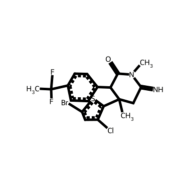 CN1C(=N)CC(C)(c2sc(Br)cc2Cl)C(c2ccc(C(C)(F)F)cc2)C1=O